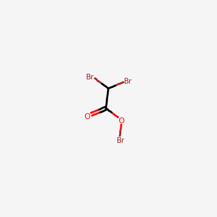 O=C(OBr)C(Br)Br